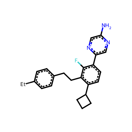 CCc1ccc(CCc2c(C3CCC3)ccc(-c3cnc(N)cn3)c2F)cc1